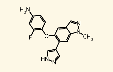 Cn1ncc2cc(Oc3ccc(N)cc3F)c(-c3cn[nH]c3)cc21